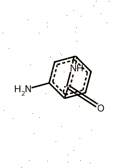 Nc1cc2ccc1c(=O)[nH]2